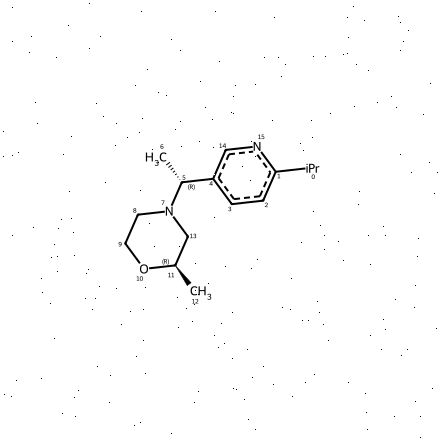 CC(C)c1ccc([C@@H](C)N2CCO[C@H](C)C2)cn1